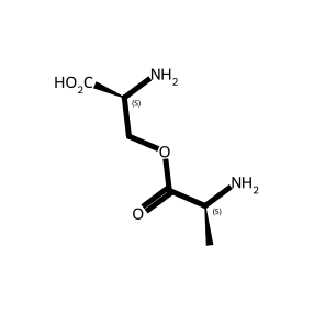 C[C@H](N)C(=O)OC[C@H](N)C(=O)O